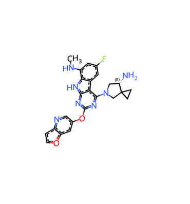 CNc1cc(F)cc2c1[nH]c1nc(Oc3cnc4ccoc4c3)nc(N3C[C@H](N)C4(CC4)C3)c12